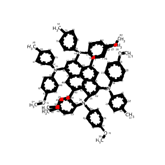 CCCCc1cc2c(N(c3ccc(C)cc3)c3ccc(OC)cc3)cc(N(c3ccc(C)cc3)c3ccc(OC)cc3)c3c(CCCC)cc4c(N(c5ccc(C)cc5)c5ccc(OC)cc5)cc(N(c5ccc(C)cc5)c5ccc(OC)cc5)c1c4c23